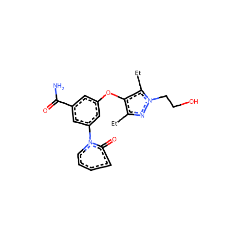 CCc1nn(CCO)c(CC)c1Oc1cc(C(N)=O)cc(-n2ccccc2=O)c1